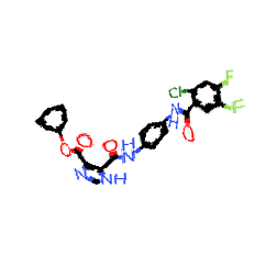 O=C(Nc1ccc(NC(=O)c2[nH]cnc2C(=O)Oc2ccccc2)cc1)c1cc(F)c(F)cc1Cl